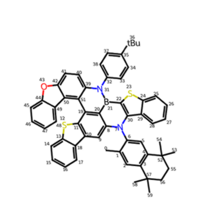 Cc1cc2c(cc1N1c3cc4c(sc5ccccc54)c4c3B(c3sc5ccccc5c31)N(c1ccc(C(C)(C)C)cc1)c1ccc3oc5ccccc5c3c1-4)C(C)(C)CCC2(C)C